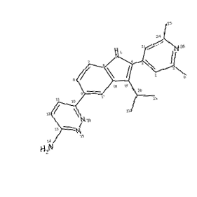 Cc1cc(-c2[nH]c3ccc(-c4ccc(N)nn4)cc3c2C(C)C)cc(C)n1